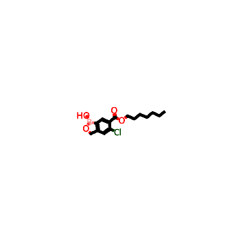 CCCCCCCOC(=O)c1cc2c(cc1Cl)COB2O